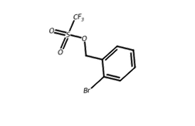 O=S(=O)(OCc1ccccc1Br)C(F)(F)F